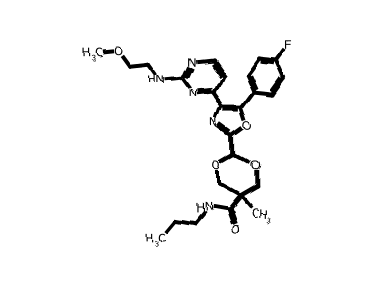 CCCNC(=O)C1(C)COC(c2nc(-c3ccnc(NCCOC)n3)c(-c3ccc(F)cc3)o2)OC1